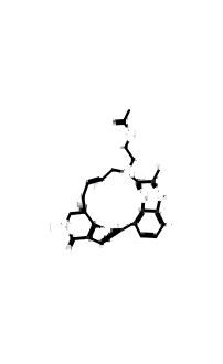 CC(=O)NCCN1C/C=C/C[C@H]2CNC(=O)c3cc([nH]c32)-c2cccc3nc(C)c1nc23